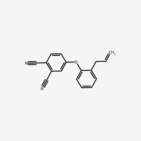 C=CCc1ccccc1Oc1ccc(C#N)c(C#N)c1